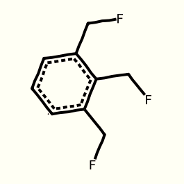 FCc1[c]ccc(CF)c1CF